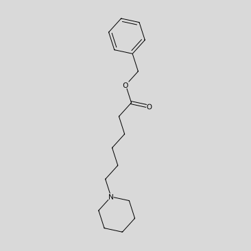 O=C(CCCCCN1CCCCC1)OCc1ccccc1